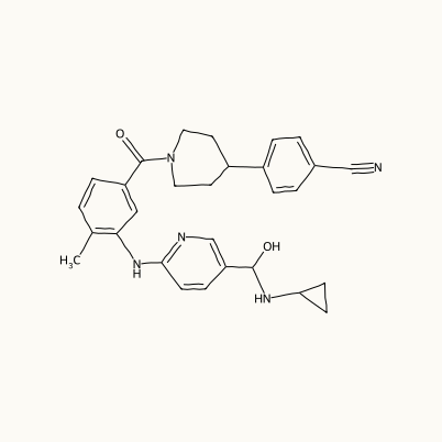 Cc1ccc(C(=O)N2CCC(c3ccc(C#N)cc3)CC2)cc1Nc1ccc(C(O)NC2CC2)cn1